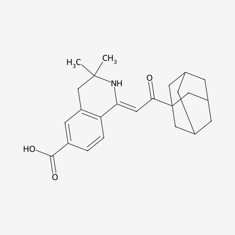 CC1(C)Cc2cc(C(=O)O)ccc2/C(=C/C(=O)C23CC4CC(CC(C4)C2)C3)N1